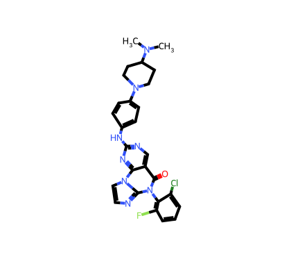 CN(C)C1CCN(c2ccc(Nc3ncc4c(=O)n(-c5c(F)cccc5Cl)c5nccn5c4n3)cc2)CC1